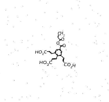 C=CC(=O)OC(=O)c1cc(C=CC(=O)O)c(C=CC(=O)O)c(C=CC(=O)O)c1